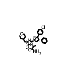 CC(C(N)=O)n1c(N2C[C@@H](c3ccccc3)C(c3ccc(Cl)cc3)=N2)nn(CC2CCOCC2)c1=O